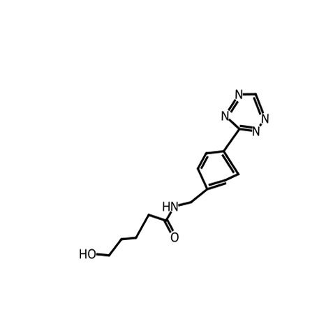 O=C(CCCCO)NCc1ccc(-c2nncnn2)cc1